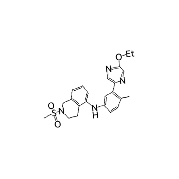 CCOc1cnc(-c2cc(Nc3cccc4c3CCN(S(C)(=O)=O)C4)ccc2C)cn1